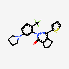 O=c1c2c(c(-c3cccs3)nn1-c1cc(N3CCCC3)ccc1C(F)(F)F)CCC2